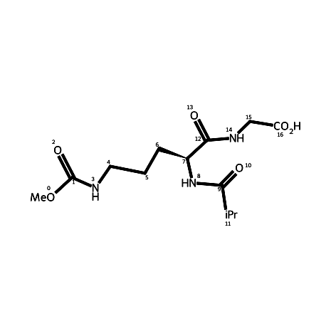 COC(=O)NCCC[C@H](NC(=O)C(C)C)C(=O)NCC(=O)O